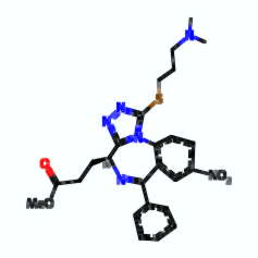 COC(=O)CC[C@@H]1N=C(c2ccccc2)c2cc([N+](=O)[O-])ccc2-n2c(SCCCN(C)C)nnc21